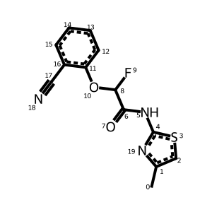 Cc1csc(NC(=O)C(F)Oc2ccccc2C#N)n1